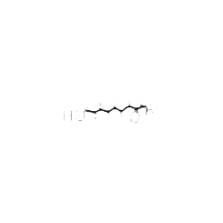 O=C(CBr)CCCCCCCO